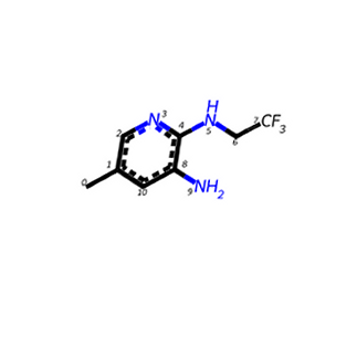 Cc1cnc(NCC(F)(F)F)c(N)c1